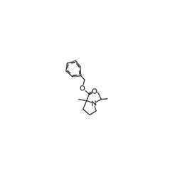 CC(C)N1CCCC1(C)C(=O)OCc1ccccc1